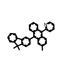 Cc1ccc2c(-c3ccccn3)c3ccccc3c(-c3ccc4c(c3)-c3ccccc3C4(C)C)c2c1